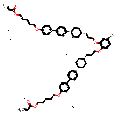 C=CC(=O)OCCCCCOc1ccc(-c2ccc([C@H]3CC[C@H](CCCOc4ccc(C#N)cc4OCCC[C@H]4CC[C@H](c5ccc(-c6ccc(OCCCCCOC(=O)C=C)cc6)cc5)CC4)CC3)cc2)cc1